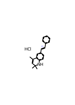 CC1=CC(C)(C)Nc2ccc(/C=C/c3ccccc3)cc21.Cl